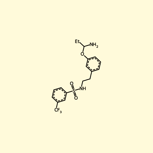 CCC(N)Oc1cccc(CCNS(=O)(=O)c2cccc(C(F)(F)F)c2)c1